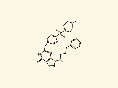 CC(CCCc1ccccc1)n1nnc2c(=O)[nH]c(Cc3ccc(S(=O)(=O)N4CCN(C)CC4)cc3)nc21